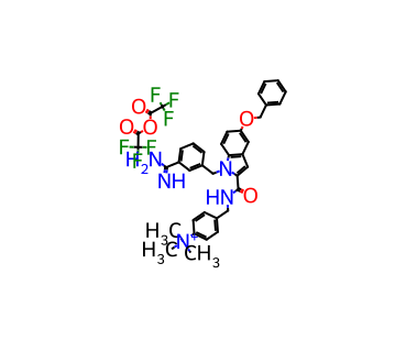 C[N+](C)(C)c1ccc(CNC(=O)c2cc3cc(OCc4ccccc4)ccc3n2Cc2cccc(C(=N)N)c2)cc1.O=C(OC(=O)C(F)(F)F)C(F)(F)F